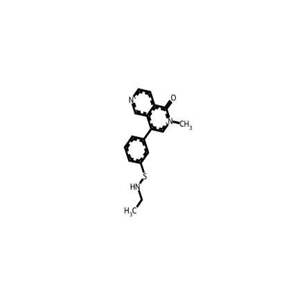 CCNSc1cccc(-c2cn(C)c(=O)c3ccncc23)c1